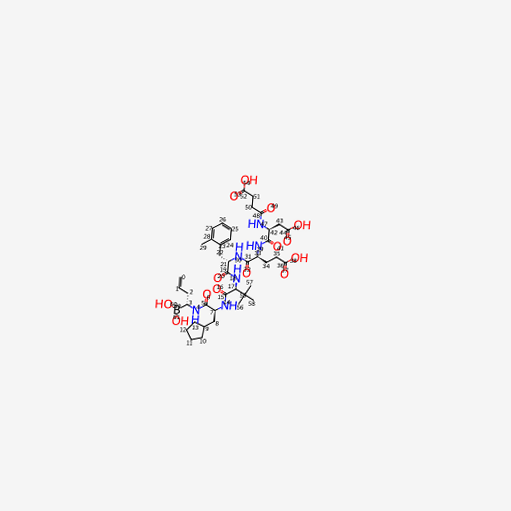 C=CC[C@H](NC(=O)[C@H](CC1CCCC1)NC(=O)[C@@H](NC(=O)[C@H](Cc1ccccc1C)NC(=O)[C@H](CCC(=O)O)NC(=O)[C@H](CC(=O)O)NC(=O)CCC(=O)O)C(C)(C)C)B(O)O